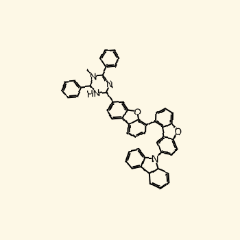 CN1C(c2ccccc2)=NC(c2ccc3c(c2)oc2c(-c4cccc5oc6ccc(N7c8ccccc8C8C=CC=CC87)cc6c45)cccc23)NC1c1ccccc1